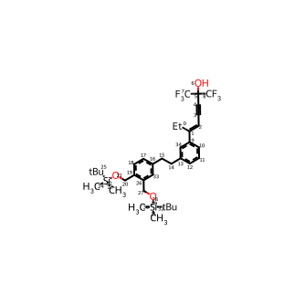 CC/C(=C\C#CC(O)(C(F)(F)F)C(F)(F)F)c1cccc(CCc2ccc(CO[Si](C)(C)C(C)(C)C)c(CO[Si](C)(C)C(C)(C)C)c2)c1